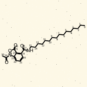 CCCCCCCCCCCCCCCCNC(=O)c1cccc2c1c(=O)on2C(C)=O